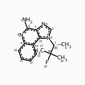 C[C@@H](n1cnc2c(N)nc3ccccc3c21)C(C)(C)F